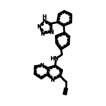 C#CCc1cc(NCc2ccc(-c3ccccc3-c3nnn[nH]3)cc2)c2ncccc2n1